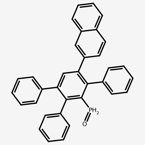 O=[PH2]c1c(-c2ccccc2)c(-c2ccccc2)cc(-c2ccc3ccccc3c2)c1-c1ccccc1